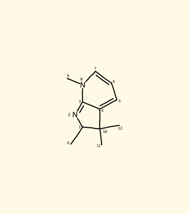 CC1N=C2C(=CC=CN2C)C1(C)C